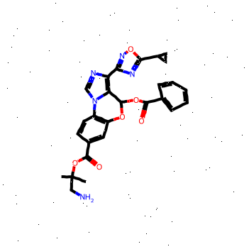 CC(C)(CN)OC(=O)c1ccc2c(c1)OC(OC(=O)c1ccccc1)c1c(-c3noc(C4CC4)n3)ncn1-2